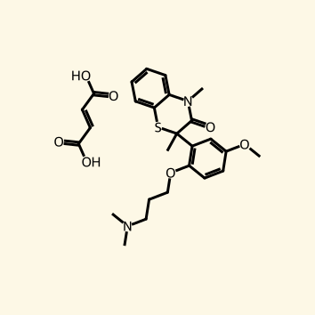 COc1ccc(OCCCN(C)C)c(C2(C)Sc3ccccc3N(C)C2=O)c1.O=C(O)C=CC(=O)O